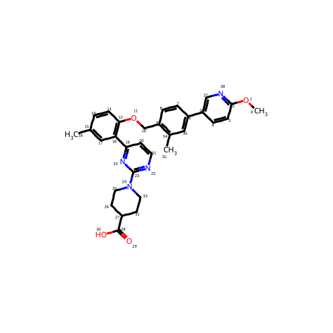 COc1ccc(-c2ccc(COc3ccc(C)cc3-c3ccnc(N4CCC(C(=O)O)CC4)n3)c(C)c2)cn1